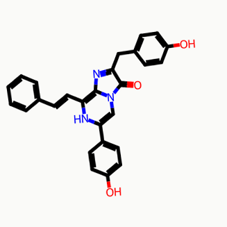 O=c1c(Cc2ccc(O)cc2)nc2c(C=Cc3ccccc3)[nH]c(-c3ccc(O)cc3)cn1-2